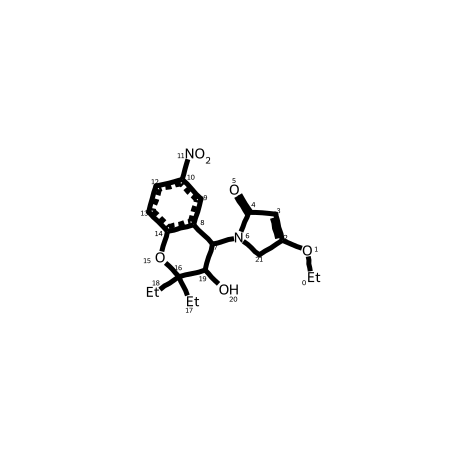 CCOC1=CC(=O)N(C2c3cc([N+](=O)[O-])ccc3OC(CC)(CC)C2O)C1